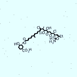 CC/C=C/[C@@H](OC(N)=O)[C@@H](Cl)[C@H](O)CC(=O)[C@@H](O)[C@H](O)[C@H](C)/C(Cl)=C/C=C/C=C(C)/C=C/C=C/C(=O)OC[C@@H]1C[C@H](C(=O)O)CC[C@@H]1O